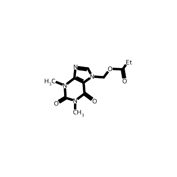 CCC(=O)OCn1cnc2c1c(=O)n(C)c(=O)n2C